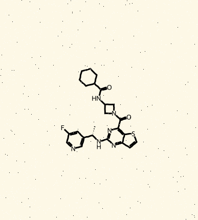 C[C@H](Nc1nc(C(=O)N2CC(NC(=O)C3CCCCC3)C2)c2sccc2n1)c1cncc(F)c1